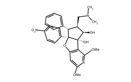 COc1cc2c(c(OC)n1)[C@]1(O)[C@H](O)[C@H](CN(C)C)[C@@H](c3ccccc3)[C@]1(c1ccc([N+](=O)[O-])cc1)O2